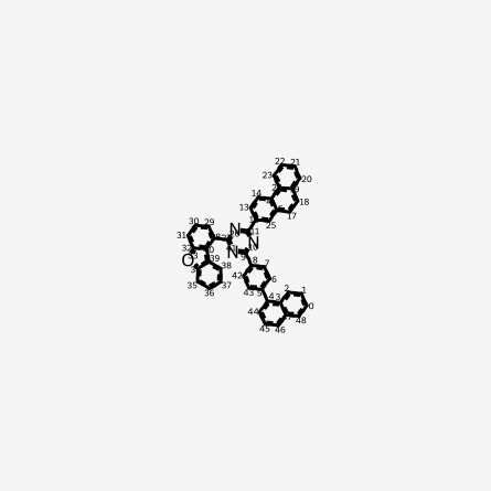 c1ccc2c(-c3ccc(-c4nc(-c5ccc6c(ccc7ccccc76)c5)nc(-c5cccc6oc7ccccc7c56)n4)cc3)cccc2c1